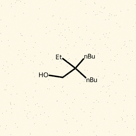 CCCCC(CC)(CO)CCCC